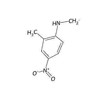 [CH2]Nc1ccc([N+](=O)[O-])cc1C